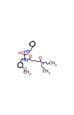 CCCN(CCC)C(=O)CCCC(=O)N[C@@H](Cc1cccc(OC)c1)[C@H](O)CNCc1ccccc1